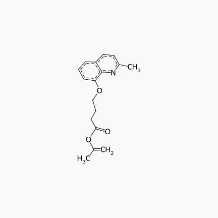 C=C(C)OC(=O)CCCOc1cccc2ccc(C)nc12